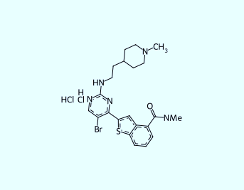 CNC(=O)c1cccc2sc(-c3nc(NCCC4CCN(C)CC4)ncc3Br)cc12.Cl.Cl